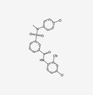 CN(c1ccc(Cl)cc1)S(=O)(=O)c1cccc(C(=O)Nc2ccc(Cl)cc2C#N)c1